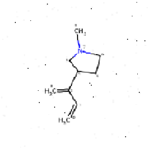 C=CC(=C)C1CCN(C)C1